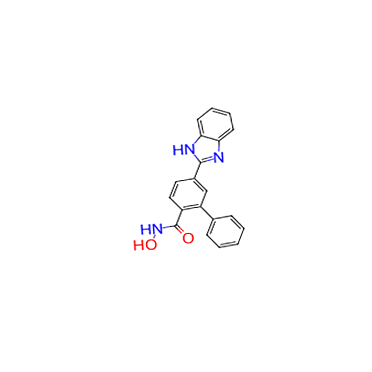 O=C(NO)c1ccc(-c2nc3ccccc3[nH]2)cc1-c1ccccc1